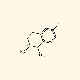 CC1c2ccc(F)cc2CC[C@@H]1C